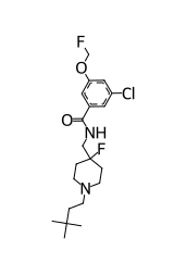 CC(C)(C)CCN1CCC(F)(CNC(=O)c2cc(Cl)cc(OCF)c2)CC1